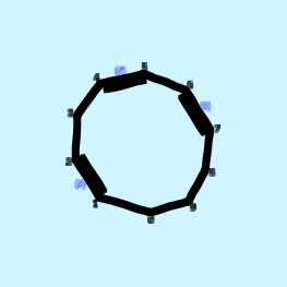 [CH]1/C=C\C/C=C\C=C/CC1